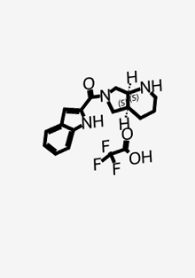 O=C(O)C(F)(F)F.O=C(c1cc2ccccc2[nH]1)N1C[C@@H]2CCCN[C@@H]2C1